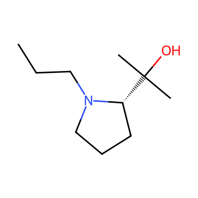 CCCN1CCC[C@H]1C(C)(C)O